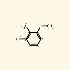 COc1c[c]cc(Cl)c1C